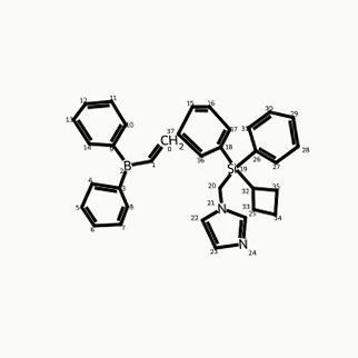 C=CB(c1ccccc1)c1ccccc1.c1ccc([Si](Cn2ccnc2)(c2ccccc2)C2CCC2)cc1